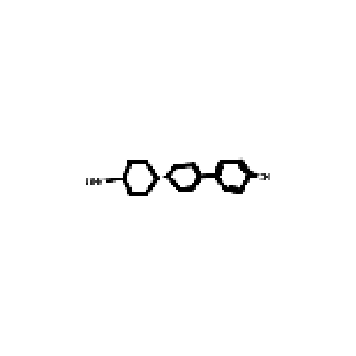 N#Cc1ccc(C2CCC([C@H]3CC[C@H](C=O)CC3)CC2)cc1